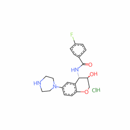 Cl.O=C(N[C@H]1c2cc(N3CCNCC3)ccc2OC[C@@H]1O)c1ccc(F)cc1